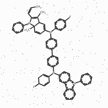 C/C=C\C1=C(C)C2C=C(N(c3ccc(F)cc3)c3ccc(-c4ccc(N(C5=CCC(F)C=C5)c5ccc6c(c5)c5ccccc5n6-c5ccccc5)cc4)cc3)C=CC2(C)N1c1ccccc1